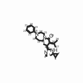 C=N/C(NC1(C)CC1)=C(\C)C(C(=O)N1CCCN(c2ccccc2)CC1)=C(C)C